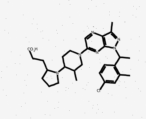 Cc1cc(Cl)ccc1C(C)n1nc(C)c2ncc(N3CCC(N4CCCC4CCC(=O)O)C(C)C3)nc21